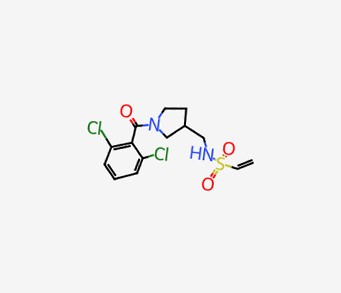 C=CS(=O)(=O)NCC1CCN(C(=O)c2c(Cl)cccc2Cl)C1